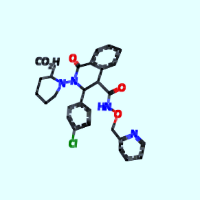 O=C(NOCc1ccccn1)C1c2ccccc2C(=O)N(N2CCCCC2C(=O)O)C1c1ccc(Cl)cc1